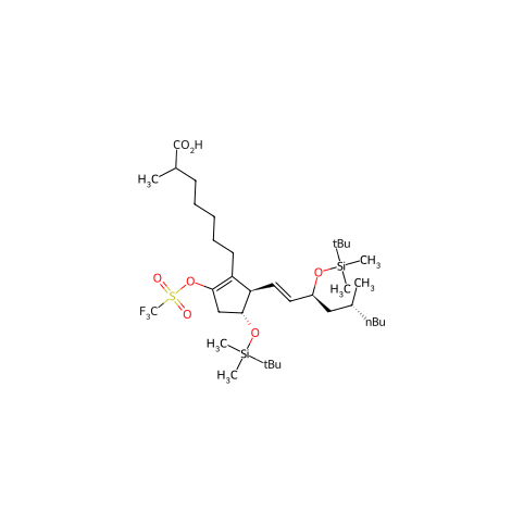 CCCC[C@@H](C)C[C@@H](C=C[C@@H]1C(CCCCCC(C)C(=O)O)=C(OS(=O)(=O)C(F)(F)F)C[C@H]1O[Si](C)(C)C(C)(C)C)O[Si](C)(C)C(C)(C)C